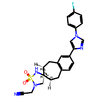 N#CCN1C[C@]2(NS1(=O)=O)[C@@H]1CC[C@H]2Cc2ccc(-c3cn(-c4ccc(F)cc4)cn3)cc2C1